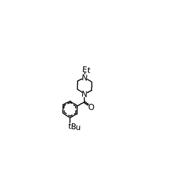 CCN1CCN(C(=O)c2cccc(C(C)(C)C)c2)CC1